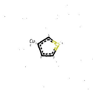 [Cu].c1ccsc1